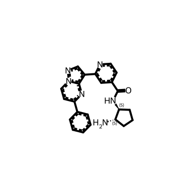 N[C@H]1CCC[C@@H]1NC(=O)c1ccnc(-c2cnn3ccc(-c4ccccc4)nc23)c1